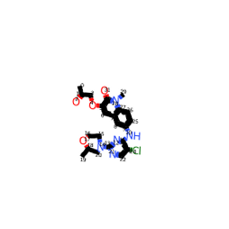 CC(=O)COc1cc2cc(Nc3nc(N4CCOC(C)C4)ncc3Cl)ccc2n(C)c1=O